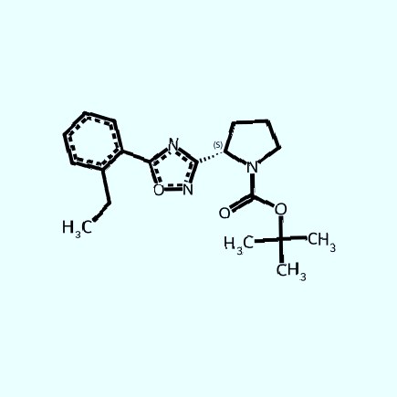 CCc1ccccc1-c1nc([C@@H]2CCCN2C(=O)OC(C)(C)C)no1